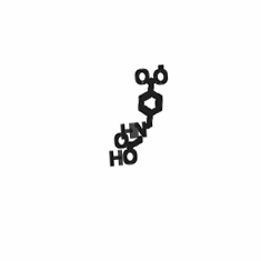 COC(=O)c1ccc(CNCC(=O)O)cc1